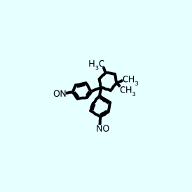 CC1CC(C)(C)CC(c2ccc(N=O)cc2)(c2ccc(N=O)cc2)C1